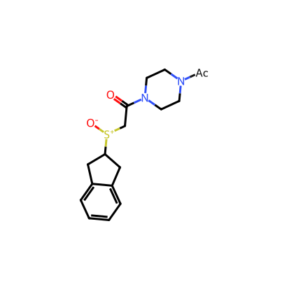 CC(=O)N1CCN(C(=O)C[S+]([O-])C2Cc3ccccc3C2)CC1